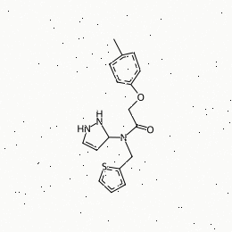 Cc1ccc(OCC(=O)N(Cc2cccs2)C2C=CNN2)cc1